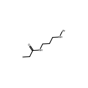 CC(C)NCCCNC(=O)CI